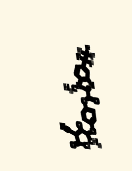 CC(Oc1ccc(OC(=O)c2nc3cc(C(F)(F)C(F)(F)F)ccc3n2C)cc1)C(=O)C(C#N)C(=O)Cl